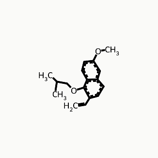 C=Cc1ccc2cc(OC)ccc2c1OCC(C)C